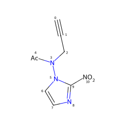 C#CCN(C(C)=O)n1ccnc1[N+](=O)[O-]